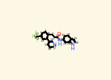 O=C(CCc1ccc(C(F)(F)F)cc1-c1cccnc1)Nc1ccc2cc[nH]c2c1